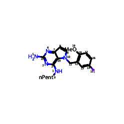 CCCCCNc1nc(N)nc2ccn(Cc3cc(I)ccc3OC)c12